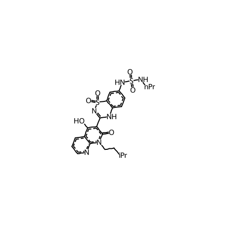 CCCNS(=O)(=O)Nc1ccc2c(c1)S(=O)(=O)N=C(c1c(O)c3cccnc3n(CCC(C)C)c1=O)N2